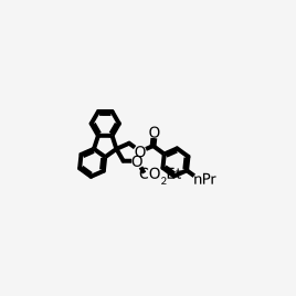 CCCc1ccc(C(=O)OCC2(COC(=O)OCC)c3ccccc3-c3ccccc32)cc1